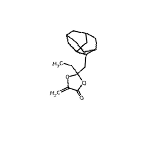 C=C1OC(CC)(CC2C3CC4CC(C3)CC2C4)OC1=O